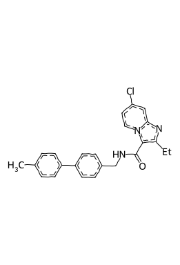 CCc1nc2cc(Cl)ccn2c1C(=O)NCc1ccc(-c2ccc(C)cc2)cc1